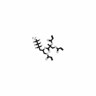 C=CC(=O)OCC(CC(F)(F)C(F)(F)C(F)(F)C(F)(F)F)OC(=O)C(C)(COC(=O)C=C)OC(=O)C=C